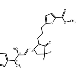 COC(=O)c1ccc(CCCN2C(=O)C(F)(F)C[C@@H]2C=C[C@H](O)[C@@H](C)c2ccccc2)s1